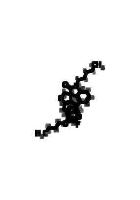 CCCCCN1C(=O)C2(COc3cc4c(cc32)OCO4)c2c(-c3ccc(OCCCC)c(F)c3)cccc21